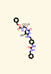 CCCc1cn(CC(NC(=O)OCc2ccccc2)C(=O)O)c(=O)nc1NCc1ccc(NC(=O)NCc2ccccc2)cc1